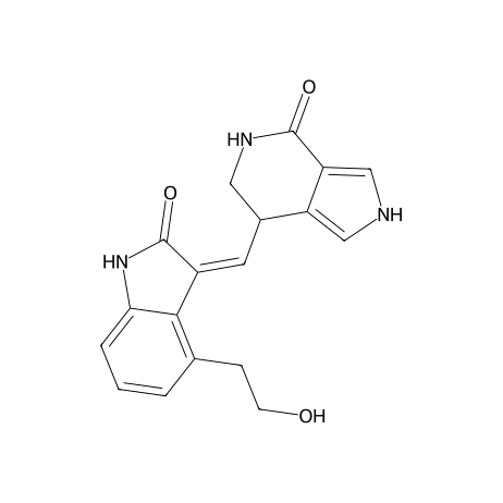 O=C1Nc2cccc(CCO)c2C1=CC1CNC(=O)c2c[nH]cc21